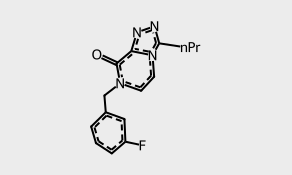 CCCc1nnc2c(=O)n(Cc3cccc(F)c3)ccn12